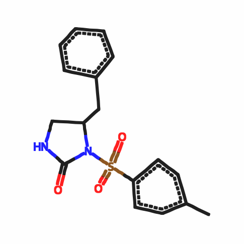 Cc1ccc(S(=O)(=O)N2C(=O)NCC2Cc2ccccc2)cc1